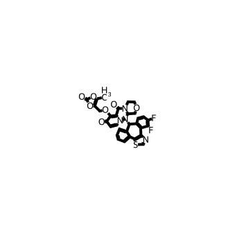 Cc1oc(=O)oc1COc1c2n(ccc1=O)N(C1c3ccccc3-c3scnc3-c3c1ccc(F)c3F)C1COCCN1C2=O